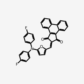 O=C1C(=Cc2ccc(N(c3ccc(F)cc3)c3ccc(F)cc3)o2)C(=O)c2c1c1ccccc1c1ccccc21